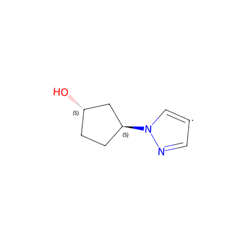 O[C@H]1CC[C@H](n2c[c]cn2)C1